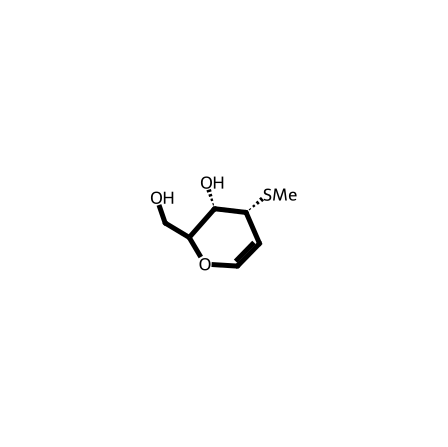 CS[C@@H]1C=COC(CO)[C@@H]1O